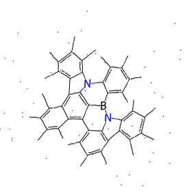 Cc1c(C)c(C)c2c(c1C)B1c3c(c4c(C)c(C)c(C)c(C)c4c4c5c(C)c(C)c(C)c(C)c5n-2c34)-c2c(C)c(C)c(C)c3c4c(C)c(C)c(C)c(C)c4n1c23